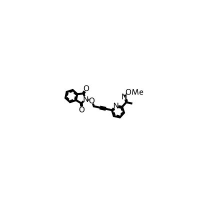 CON=C(C)c1cccc(C#CCON2C(=O)c3ccccc3C2=O)n1